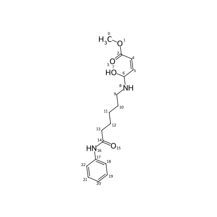 COC(=O)/C=C\C(O)NCCCCCC(=O)Nc1ccccc1